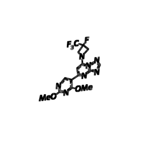 COc1ncc(-c2cc(N3CC(F)(C(F)(F)F)C3)n3ncnc3n2)c(OC)n1